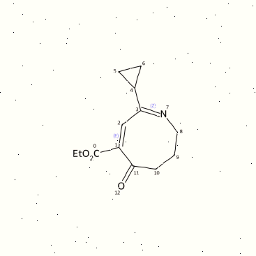 CCOC(=O)/C1=C/C(C2CC2)=N\CCCC1=O